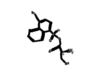 N[C@@H](CO)C(=O)OS(=O)(=O)c1ccc(Br)c2ccccc12